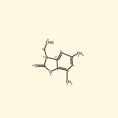 Cc1cc(C)c2oc(=O)n(CC=O)c2c1